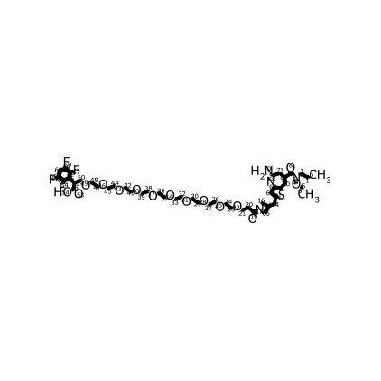 CCCN(OCC)C(=O)C1=Cc2sc(CC3CN(C(=O)CCOCCOCCOCCOCCOCCOCCOCCOCCOCCOCC(C(=O)O)c4c(F)c(F)cc(F)c4F)C3)cc2N=C(N)C1